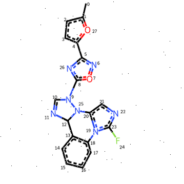 Cc1ccc(-c2noc(N3C=NC4c5ccccc5-n5c(cnc5F)N43)n2)o1